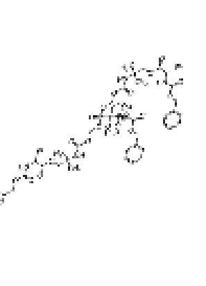 CC(C)[C@H](NC(=O)OCc1ccccc1)C(=O)OCC(C)(C)NC(=O)OCOP(=O)(OCOC(=O)NC(C)(C)COC(=O)[C@@H](NC(=O)OCc1ccccc1)C(C)C)C(O)(CCCNC(=O)OCc1ccccc1)P(=O)(O)O